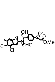 COC(=O)C[S+]([O-])c1ccc([C@@H](CO)N(C=O)c2cc3c(Cl)c(Cl)c(C)cc3n2C)cc1